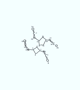 O=C=NC1CC(N=C=O)C1.O=C=NC1CCC(N=C=O)C1